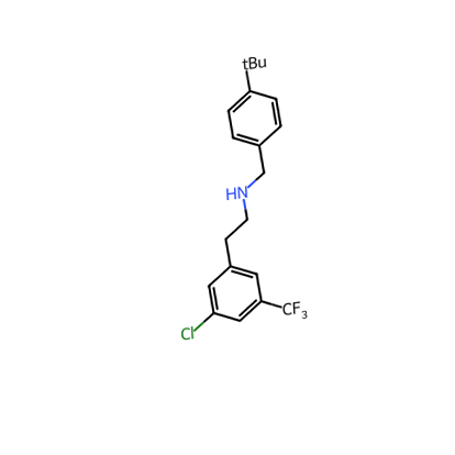 CC(C)(C)c1ccc(CNCCc2cc(Cl)cc(C(F)(F)F)c2)cc1